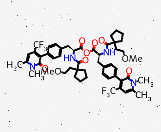 COCCC1(C(=O)N[C@@H](Cc2ccc(-c3c(C(F)(F)F)cc(C)n(C)c3=O)cc2)C(=O)OC(=O)[C@H](Cc2ccc(-c3c(C(F)(F)F)cc(C)n(C)c3=O)cc2)NC(=O)C2(CCOC)CCCC2)CCCC1